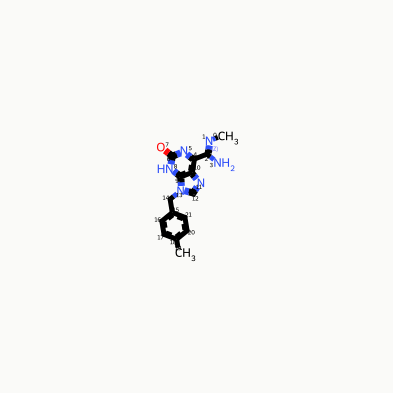 C/N=C(\N)c1nc(=O)[nH]c2c1ncn2Cc1ccc(C)cc1